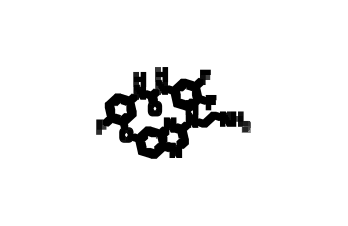 NCCNc1cnc2ccc(Oc3cc(NC(=O)Nc4ccc(F)c(F)c4)ccc3F)cc2n1